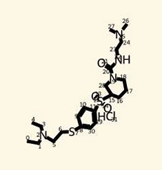 CCN(CC)CCSc1ccc(S(=O)(=O)C2CCCN(C(=O)NCCN(C)C)C2)cc1.Cl